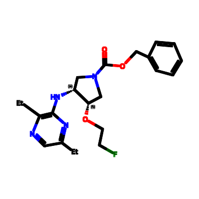 CCc1cnc(CC)c(N[C@@H]2CN(C(=O)OCc3ccccc3)C[C@@H]2OCCF)n1